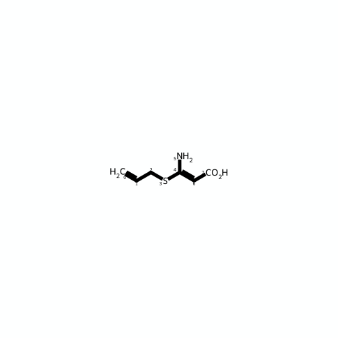 C=CCS/C(N)=C/C(=O)O